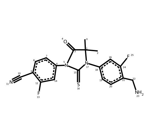 CC1(C)C(=O)N(c2ccc(C#N)c(F)c2)C(=S)N1c1ccc(CN)c(F)c1